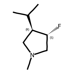 CC(C)[C@@H]1CN(C)C[C@H]1F